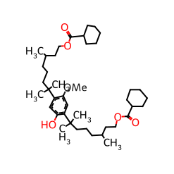 COc1cc(C(C)(C)CCCC(C)CCOC(=O)C2CCCCC2)c(O)cc1C(C)(C)CCCC(C)CCOC(=O)C1CCCCC1